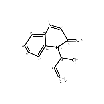 C=CC(O)n1c(=O)cnc2ccccc21